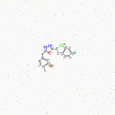 Cc1ccc(Cc2nnc(CCc3ccc(F)cc3Cl)o2)cc1Br